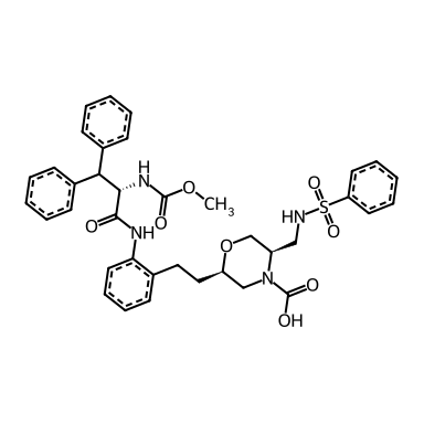 COC(=O)N[C@H](C(=O)Nc1ccccc1CC[C@@H]1CN(C(=O)O)[C@H](CNS(=O)(=O)c2ccccc2)CO1)C(c1ccccc1)c1ccccc1